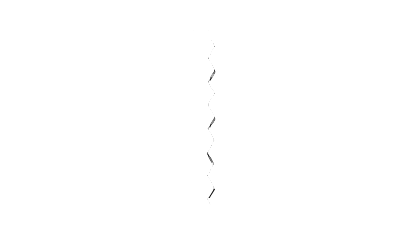 CC=CCC=CCC=CCCC=CCCC(=O)O